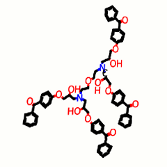 O=C(c1ccccc1)c1ccc(OCC(O)CN(CCOCCN(CC(O)COc2ccc(C(=O)c3ccccc3)cc2)CC(O)COc2ccc(C(=O)c3ccccc3)cc2)CC(O)COc2ccc(C(=O)c3ccccc3)cc2)cc1